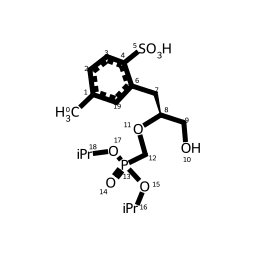 Cc1ccc(S(=O)(=O)O)c(C[C@@H](CO)OCP(=O)(OC(C)C)OC(C)C)c1